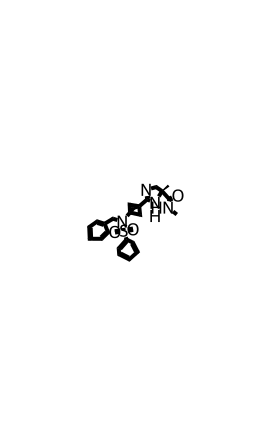 CNC(=O)[C@@]1(C)CN=C(C23CC(N(Cc4ccccc4)S(=O)(=O)c4ccccc4)(C2)C3)N1